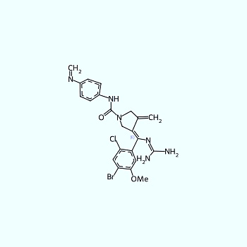 C=Nc1ccc(NC(=O)N2CC(=C)/C(=C(\N=C(N)N)c3cc(OC)c(Br)cc3Cl)C2)cc1